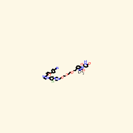 Cn1c(=O)n(C2CCC(=O)NC2=O)c2cccc(CCOCCOCCOCCN3CCN(c4ccc(-n5ccnc5-c5ccc(-c6ccc(C#N)cc6)o5)cc4Cl)CC3)c21